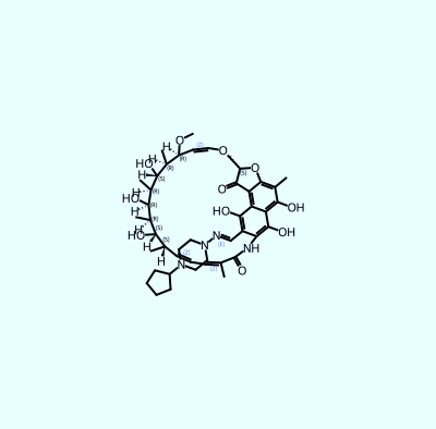 CO[C@H]1/C=C\O[C@@]2(C)Oc3c(C)c(O)c4c(O)c(c(/C=N/N5CCN(C6CCCC6)CC5)c(O)c4c3C2=O)NC(=O)/C(C)=C\C=C/[C@H](C)[C@H](O)[C@@H](C)[C@@H](O)[C@@H](C)[C@H](O)[C@H]1C